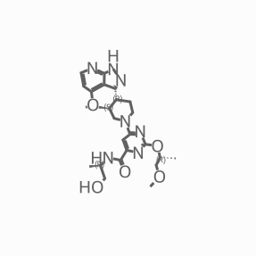 COC[C@@H](C)Oc1nc(C(=O)N[C@H](C)CO)cc(N2CC[C@@H](c3n[nH]c4nccc(OC)c34)[C@H](C)C2)n1